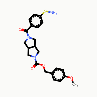 NSc1ccc(C(=O)N2CC3CN(C(=O)OCc4ccc(OC(F)(F)F)cc4)CC3C2)cc1